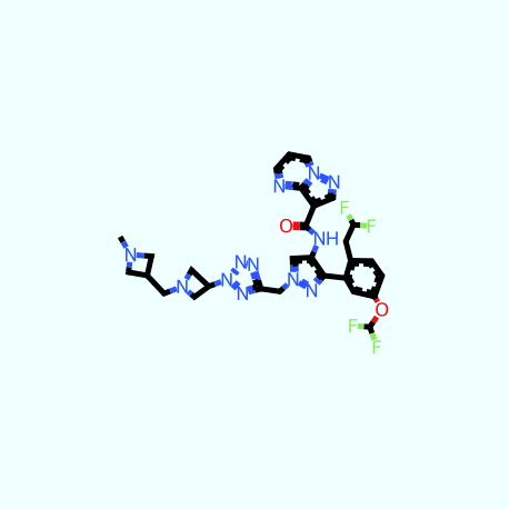 CN1CC(CN2CC(n3nnc(Cn4cc(NC(=O)c5cnn6cccnc56)c(-c5cc(OC(F)F)ccc5CC(F)F)n4)n3)C2)C1